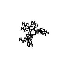 CN[C@@H](CC(=O)OC(C)(C)C)C(=O)OC(C)(C)C